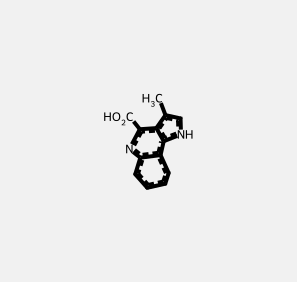 Cc1c[nH]c2c1c(C(=O)O)nc1ccccc12